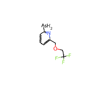 FC(F)(F)COCc1cccc([AsH2])n1